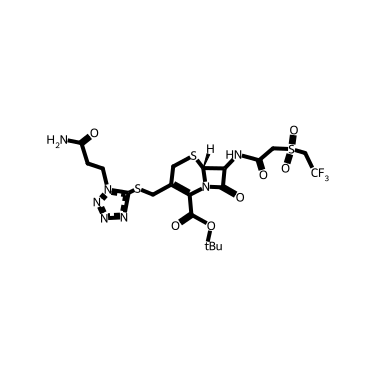 CC(C)(C)OC(=O)C1=C(CSc2nnnn2CCC(N)=O)CS[C@@H]2C(NC(=O)CS(=O)(=O)CC(F)(F)F)C(=O)N12